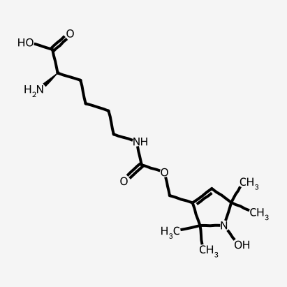 CC1(C)C=C(COC(=O)NCCCC[C@@H](N)C(=O)O)C(C)(C)N1O